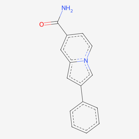 NC(=O)c1ccn2cc(-c3ccccc3)cc2c1